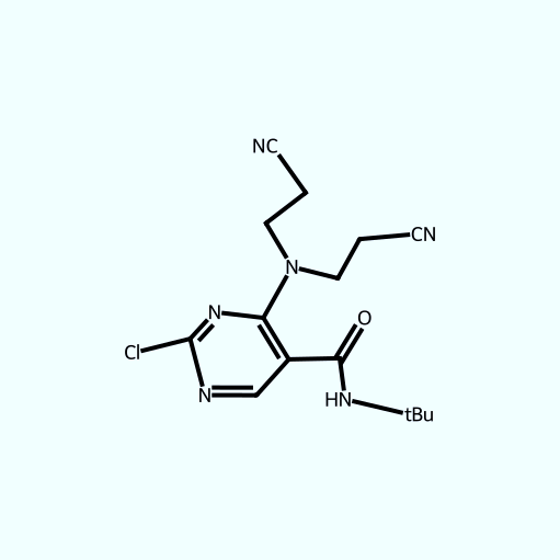 CC(C)(C)NC(=O)c1cnc(Cl)nc1N(CCC#N)CCC#N